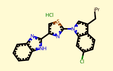 CC(C)Cc1cn(-c2nc(-c3nc4ccccc4[nH]3)cs2)c2cc(Cl)ccc12.Cl